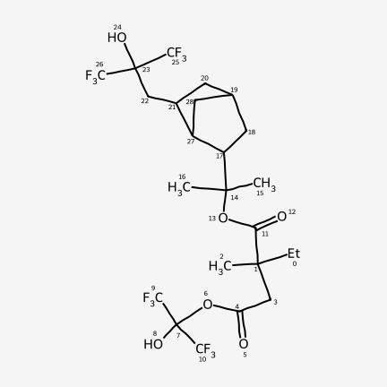 CCC(C)(CC(=O)OC(O)(C(F)(F)F)C(F)(F)F)C(=O)OC(C)(C)C1CC2CC(CC(O)(C(F)(F)F)C(F)(F)F)C1C2